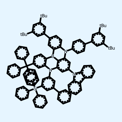 CC(C)(C)c1cc(-c2ccc(N3c4ccc(-c5cc(C(C)(C)C)cc(C(C)(C)C)c5)cc4B4c5ccc(C(c6ccccc6)(c6ccccc6)c6ccccc6)cc5N(c5cc(-c6ccccc6)cc([Si](c6ccccc6)(c6ccccc6)c6ccccc6)c5)c5cc(-n6c7ccccc7c7ccccc76)cc3c54)cc2)cc(C(C)(C)C)c1